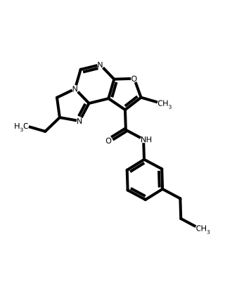 CCCc1cccc(NC(=O)c2c(C)oc3c2C2=NC(CC)CN2C=N3)c1